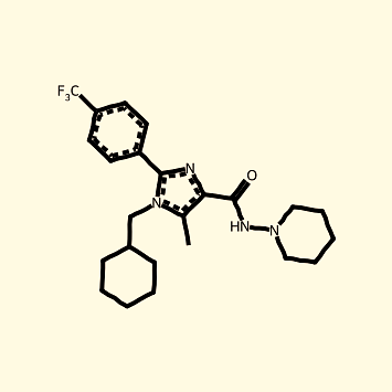 Cc1c(C(=O)NN2CCCCC2)nc(-c2ccc(C(F)(F)F)cc2)n1CC1CCCCC1